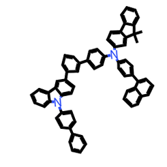 CC1(C)c2ccccc2-c2ccc(N(c3ccc(-c4cccc(-c5ccc6c(c5)c5ccccc5n6-c5ccc(-c6ccccc6)cc5)c4)cc3)c3ccc(-c4cccc5ccccc45)cc3)cc21